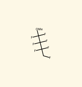 [CH2]OC(F)(F)C(F)(F)C(F)(F)CF